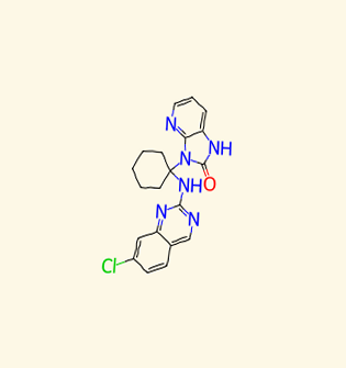 O=c1[nH]c2cccnc2n1C1(Nc2ncc3ccc(Cl)cc3n2)CCCCC1